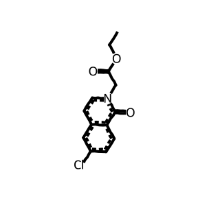 CCOC(=O)Cn1ccc2cc(Cl)ccc2c1=O